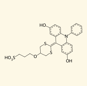 O=S(=O)(O)CCCOC1CSC(=C2c3cc(O)ccc3N(c3ccccc3)c3ccc(O)cc32)SC1